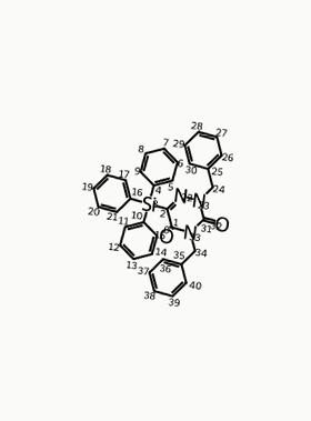 O=c1c([Si](c2ccccc2)(c2ccccc2)c2ccccc2)nn(Cc2ccccc2)c(=O)n1Cc1ccccc1